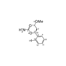 COCC[C@H](OC(N)=O)c1ccccc1I